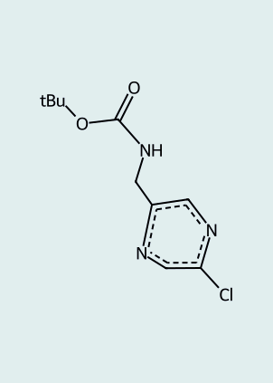 CC(C)(C)OC(=O)NCc1cnc(Cl)cn1